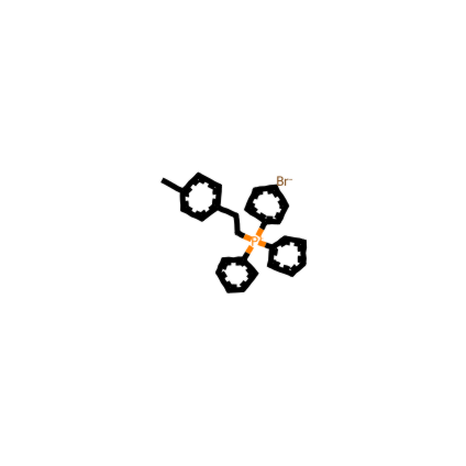 Cc1ccc(CC[P+](c2ccccc2)(c2ccccc2)c2ccccc2)cc1.[Br-]